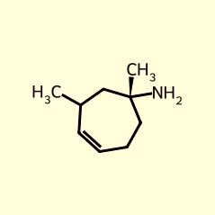 CC1C=CCC[C@@](C)(N)C1